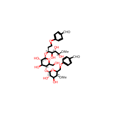 CO[C@H]1C(COc2ccc(C=O)cc2)O[C@H](O[C@H]2C(CO)O[C@H](O[C@@H](CCOc3ccc(C=O)cc3)C(O)[C@H](O)[C@H](O)OC)[C@@H](O)C2O)[C@@H](O)C1O